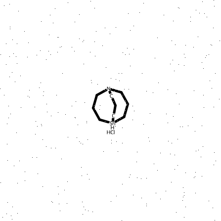 C1CN2CC[CH2][SnH]([CH2]1)[CH2]CC2.Cl